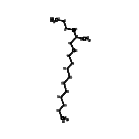 C[CH]COC(C)COCCCCCCCCCC